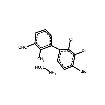 NC(=O)O.[2H]c1c(C(C)(C)C)ccc(-c2cccc(C=O)c2C)c1Cl